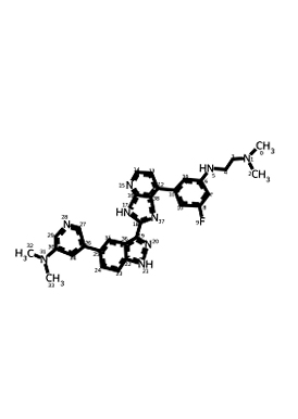 CN(C)CCNc1cc(F)cc(-c2ccnc3[nH]c(-c4n[nH]c5ccc(-c6cncc(N(C)C)c6)cc45)nc23)c1